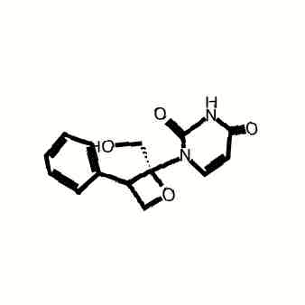 O=c1ccn([C@@]2(CO)OCC2c2ccccc2)c(=O)[nH]1